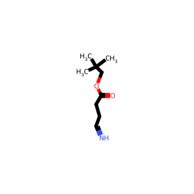 CC(C)(C)COC(=O)CCC=N